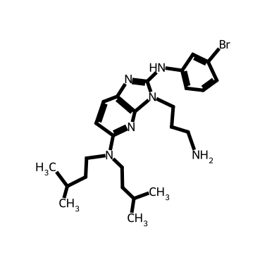 CC(C)CCN(CCC(C)C)c1ccc2nc(Nc3cccc(Br)c3)n(CCCN)c2n1